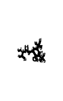 CC[C@@H](NCc1cc(C(C)(C)C)cc(C(C)(C)C)c1O)C(C)C